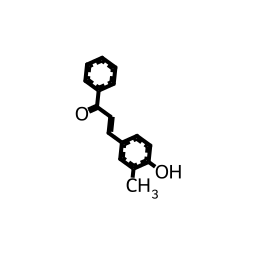 Cc1cc(C=CC(=O)c2ccccc2)ccc1O